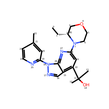 CC[C@@H]1COCCN1c1cc(C(C)(C)O)c2cnn(-c3cc(C)ccn3)c2n1